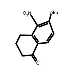 CCCCc1ccc2c(c1[N+](=O)[O-])CCCC2=O